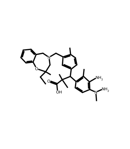 CCC1(C)CN(Cc2cc(C(c3ccc(N(C)N)c(N)c3C)C(C)(C)C(=O)O)ccc2C)Cc2ccccc2O1